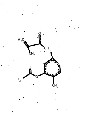 C=C(C)C(=O)O.CC(=O)Oc1cc(F)ccc1C